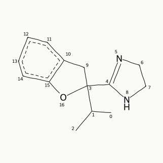 CC(C)C1(C2=NCCN2)Cc2ccccc2O1